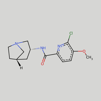 COc1ccc(C(=O)N[C@@H]2C[C@@H]3CCN(C3)C2)nc1Cl